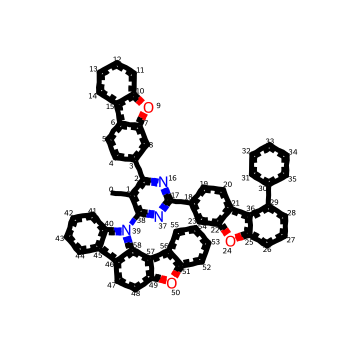 Cc1c(-c2ccc3c(c2)oc2ccccc23)nc(-c2ccc3c(c2)oc2cccc(-c4ccccc4)c23)nc1-n1c2ccccc2c2ccc3oc4ccccc4c3c21